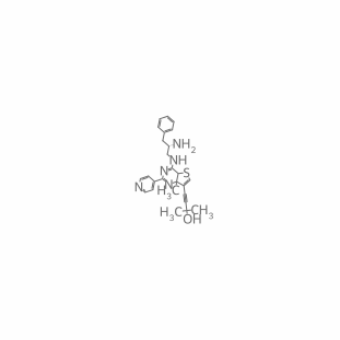 CC(C)(O)C#CC1=CSC2C(NC[C@@H](N)Cc3ccccc3)=NC(c3ccncc3)=NC12C